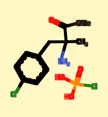 COC(=O)C(C)(N)Cc1ccc(Cl)cc1.O=P(O)(O)Cl